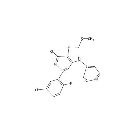 COCOc1c(Nc2ccncc2)cc(-c2cc(Cl)ccc2F)nc1Cl